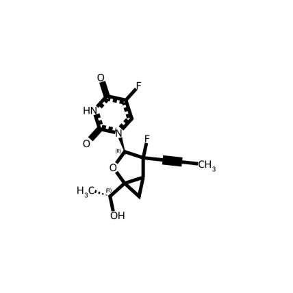 CC#CC1(F)C2CC2([C@@H](C)O)O[C@H]1n1cc(F)c(=O)[nH]c1=O